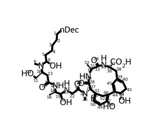 CCCCCCCCCCCCCCCC(O)N(C)[C@H](CO)CC(=O)N[C@H](C)C(O)NCC(=O)N(C)[C@@H]1C(=O)N[C@@H](C)C(=O)N[C@H](C(=O)O)CC2=CC[C@H](O)C(=C2)C2=C(O)C=C[C@H]1C2